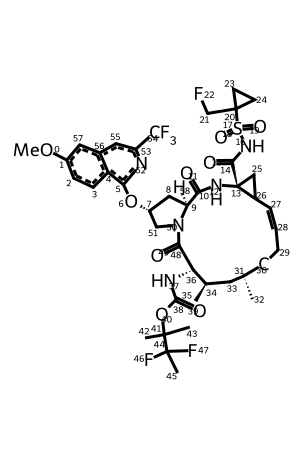 COc1ccc2c(O[C@@H]3C[C@H]4C(=O)N[C@]5(C(=O)NS(=O)(=O)C6(CF)CC6)CC5/C=C\CC[C@H](C)C[C@@H](C)[C@H](NC(=O)OC(C)(C)C(C)(F)F)C(=O)N4C3)nc(C(F)(F)F)cc2c1